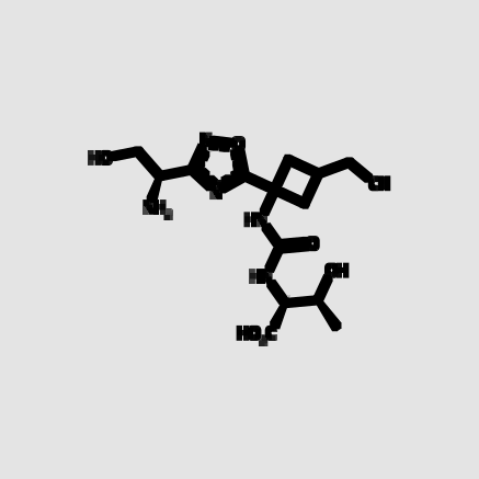 C[C@H](O)[C@H](NC(=O)NC1(c2nc([C@@H](N)CO)no2)CC(CC#N)C1)C(=O)O